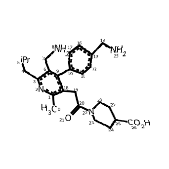 Cc1nc(CC(C)C)c(CN)c(-c2ccc(CN)cc2)c1CC(=O)N1CCC(C(=O)O)CC1